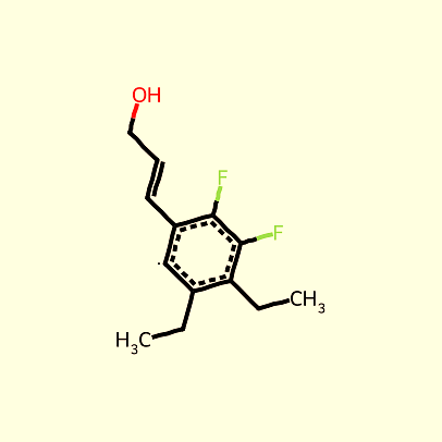 CCc1[c]c(/C=C/CO)c(F)c(F)c1CC